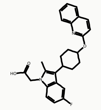 Cc1c(C2CCC(Oc3ccc4ccccc4n3)CC2)c2cc(F)ccc2n1CC(=O)O